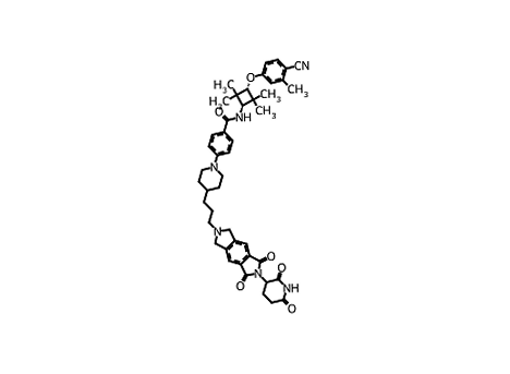 Cc1cc(O[C@H]2C(C)(C)[C@H](NC(=O)c3ccc(N4CCC(CCCN5Cc6cc7c(cc6C5)C(=O)N(C5CCC(=O)NC5=O)C7=O)CC4)cc3)C2(C)C)ccc1C#N